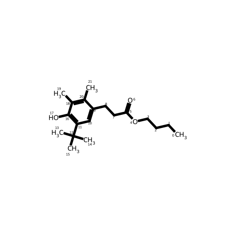 CCCCOC(=O)CCc1cc(C(C)(C)C)c(O)c(C)c1C